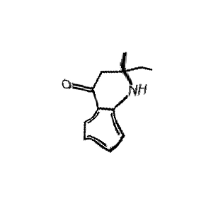 CC1(C)CC(=O)c2ccccc2N1